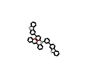 c1cc(-c2ccc3c(c2)sc2ccccc23)cc(N(c2ccc(-c3ccc4sc5ccccc5c4c3)cc2)c2ccccc2-c2ccc3ccccc3c2)c1